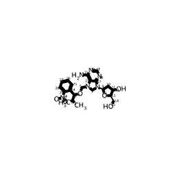 CC(C)C(OCN1CN([C@H]2CC(O)[C@@H](CO)O2)c2ncnc(N)c21)c1ccccc1[N+](=O)[O-]